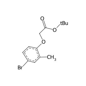 Cc1cc(Br)ccc1OCC(=O)OC(C)(C)C